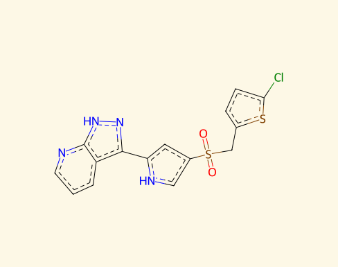 O=S(=O)(Cc1ccc(Cl)s1)c1c[nH]c(-c2n[nH]c3ncccc23)c1